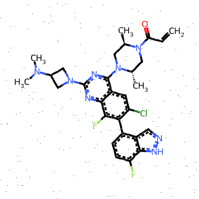 C=CC(=O)N1C[C@H](C)N(c2nc(N3CC(N(C)C)C3)nc3c(F)c(-c4ccc(F)c5[nH]ncc45)c(Cl)cc23)C[C@H]1C